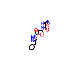 O=C(NC1COC2C1OCC2n1cc(CC2CCCCC2)nn1)c1ccno1